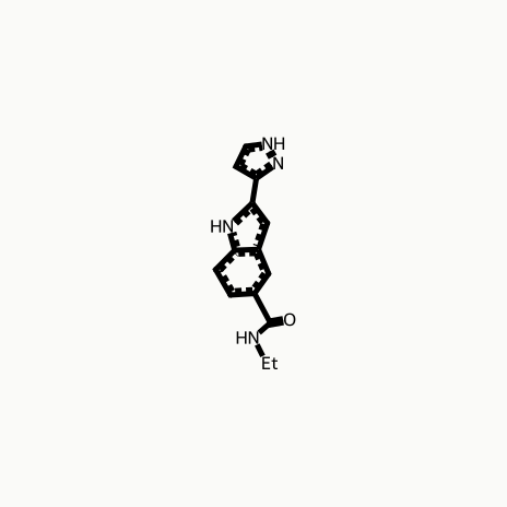 CCNC(=O)c1ccc2[nH]c(-c3cc[nH]n3)cc2c1